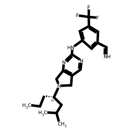 CCC[C@@H](CC(C)C)N1Cc2cnc(Nc3cc(C=N)cc(C(F)(F)F)c3)nc2C1